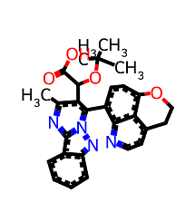 Cc1nc2c3ccccc3nn2c(-c2ccc3c4c(ccnc24)CCO3)c1C(OC(C)(C)C)C(=O)O